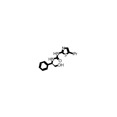 CC(C)c1cnc(NC(=O)N[C@@H](CO)c2ccccc2)s1